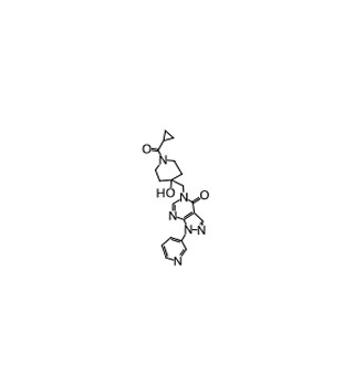 O=C(C1CC1)N1CCC(O)(Cn2cnc3c(cnn3-c3cccnc3)c2=O)CC1